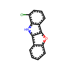 Clc1cccc2c1[nH]c1c3ccccc3oc21